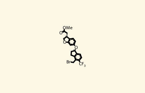 COC(=O)C[C@@H]1COc2cc(O[C@@H]3CCc4c3ccc(C(F)(F)F)c4CBr)ccc21